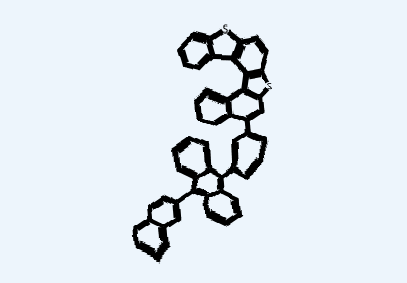 c1cc(-c2c3ccccc3c(-c3ccc4ccccc4c3)c3ccccc23)cc(-c2cc3sc4ccc5sc6ccccc6c5c4c3c3ccccc23)c1